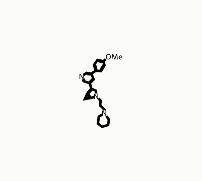 COc1ccc(-c2cncc(C3=C4C=C4N(CCCN4CCCCC4)C3)c2)cc1